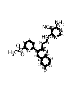 CS(=O)(=O)c1cccc(-c2cc3cc(F)ccc3nc2CCNc2ncnc(N)c2C#N)n1